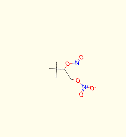 CC(C)(C)C(CO[N+](=O)[O-])ON=O